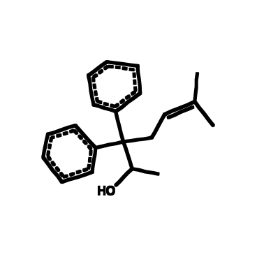 CC(C)=CCC(c1ccccc1)(c1ccccc1)C(C)O